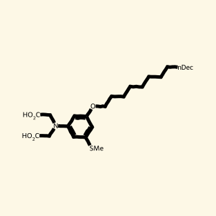 CCCCCCCCCCCCCCCCCCOc1cc(SC)cc(N(CC(=O)O)CC(=O)O)c1